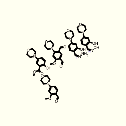 COC(=O)c1cc(N2CCOCC2)ccc1O.COc1cc(N2CCOCC2)c(C=O)cc1C=O.COc1cc(N2CCOCC2)ccc1C=O.N/N=C\c1ccc(N2CCOCC2)cc1O.O/N=C\c1ccc(N2CCOCC2)cc1O